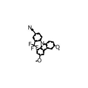 COc1ccc2c(c1)c1cc(OC)ccc1n2-c1ccc(C#N)cc1C(F)(F)F